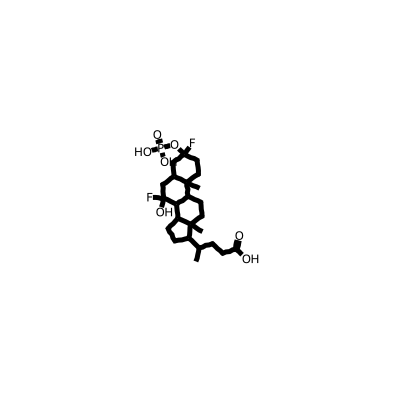 CC(CCC(=O)O)C1CCC2C3C(CCC12C)C1(C)CCC(F)(OP(=O)(O)O)CC1CC3(O)F